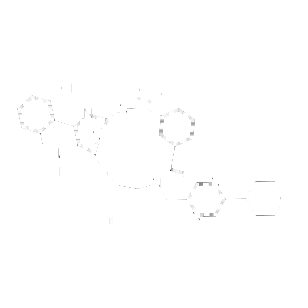 Cc1cccc(C)c1-c1nc2nc(c1C)OC[C@@H](CC(C)C)N(Cc1cnc(C3CCOCC3)cn1)C(=O)c1cccc(c1)S(=O)(=O)N2